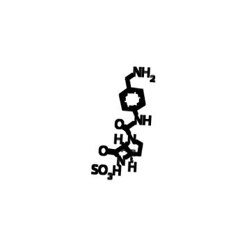 NCc1ccc(NC(=O)N2CC[C@@H]3[C@H]2C(=O)N3S(=O)(=O)O)cc1